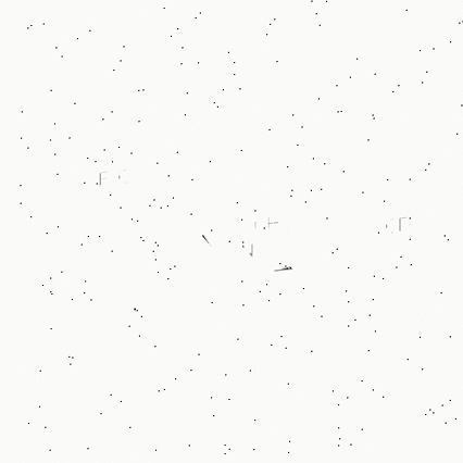 CN1[C@@H](CCc2cccc(C(F)(F)F)c2)CCC[C@H]1CCc1cccc(C(F)(F)F)c1